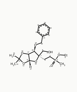 CCOP(C)(=O)CC[C@]1(CO)O[C@@H]2OC(C)(C)OC2[C@H]1OCc1ccccc1